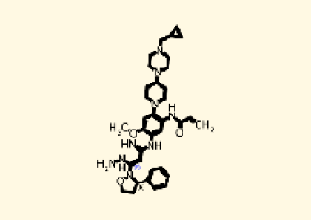 C=CC(=O)Nc1cc(NC(=N)/C=C(\NN)N2OCC[C@@H]2c2ccccc2)c(OC)cc1N1CCC(N2CCN(CC3CC3)CC2)CC1